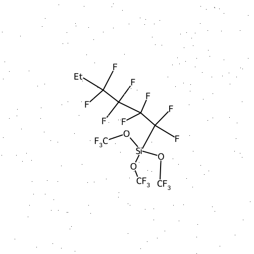 CCC(F)(F)C(F)(F)C(F)(F)C(F)(F)[Si](OC(F)(F)F)(OC(F)(F)F)OC(F)(F)F